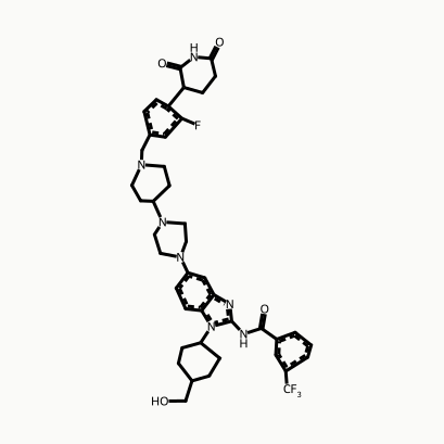 O=C1CCC(c2ccc(CN3CCC(N4CCN(c5ccc6c(c5)nc(NC(=O)c5cccc(C(F)(F)F)c5)n6C5CCC(CO)CC5)CC4)CC3)cc2F)C(=O)N1